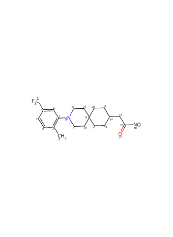 Cc1ccc(C(F)(F)F)cc1N1CCC2(CCC(CC(=O)N=O)CC2)CC1